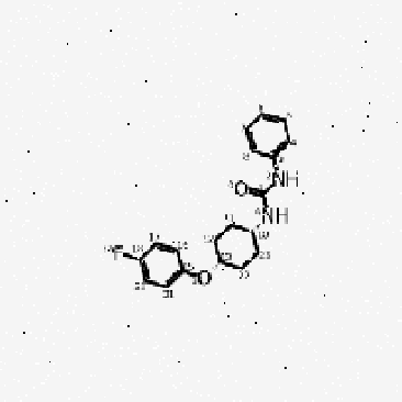 O=C(Nc1ccccc1)N[C@H]1CC[C@@H](Oc2ccc(F)cc2)CC1